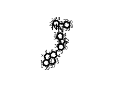 c1cc2ccc3cc(-c4ccc5sc6cc(-n7c8ccccc8c8cccnc87)ccc6c5c4)cc4ccc(c1)c2c34